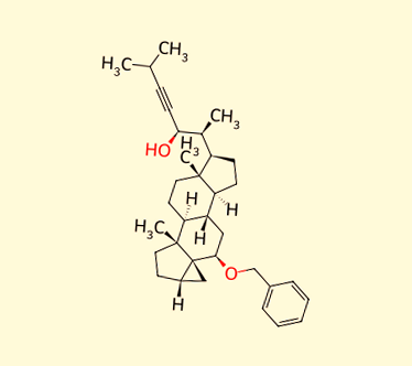 CC(C)C#C[C@H](O)[C@@H](C)[C@H]1CC[C@H]2[C@@H]3C[C@@H](OCc4ccccc4)[C@]45C[C@@H]4CC[C@]5(C)[C@H]3CC[C@]12C